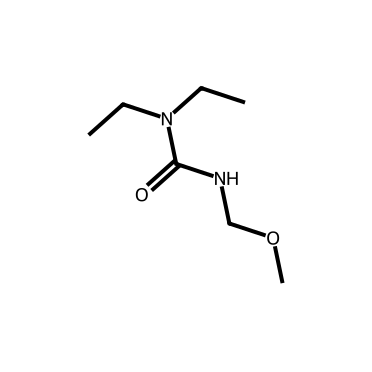 CCN(CC)C(=O)NCOC